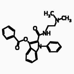 CN(C)CCNC(=O)c1c(OC(=O)c2ccccc2)c2ccccc2n1-c1ccccc1